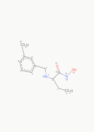 O=C(O)CC(NCc1cccc(C(=O)O)c1)C(=O)NO